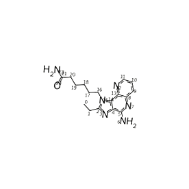 CCc1nc2c(N)nc3cccnc3c2n1CCCCCC(N)=O